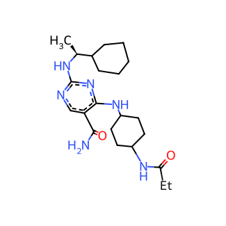 CCC(=O)NC1CCC(Nc2nc(N[C@@H](C)C3CCCCC3)ncc2C(N)=O)CC1